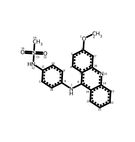 COc1ccc2c(Nc3ccc(NS(C)(=O)=O)cc3)c3ccccc3nc2c1